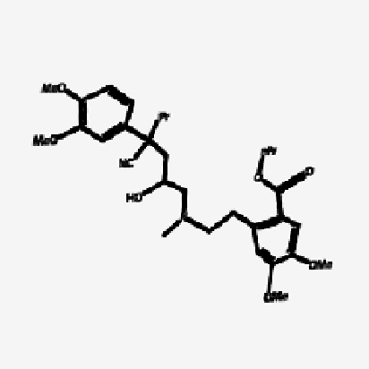 CCCOC(=O)c1cc(OC)c(OC)cc1CCN(C)CC(O)CC(C#N)(c1ccc(OC)c(OC)c1)C(C)C